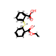 CCOC(=O)c1ccccc1Sc1ccccc1C(=O)O